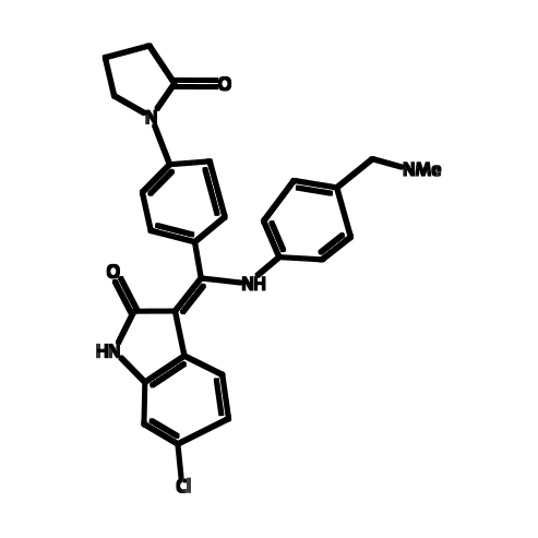 CNCc1ccc(NC(=C2C(=O)Nc3cc(Cl)ccc32)c2ccc(N3CCCC3=O)cc2)cc1